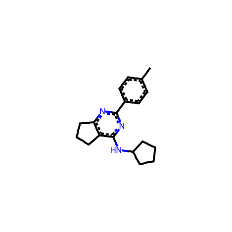 Cc1ccc(-c2nc3c(c(NC4CCCC4)n2)CCC3)cc1